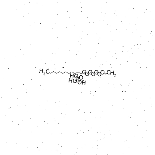 C=COOOOOOOCCCCCCCCCCCC.O=P(O)(O)O